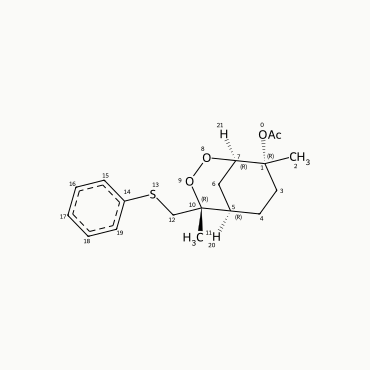 CC(=O)O[C@]1(C)CC[C@@H]2C[C@H]1OO[C@@]2(C)CSc1ccccc1